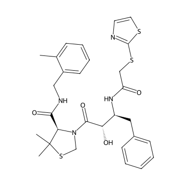 Cc1ccccc1CNC(=O)[C@H]1N(C(=O)[C@@H](O)[C@H](Cc2ccccc2)NC(=O)CSc2nccs2)CSC1(C)C